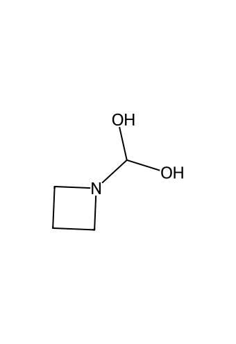 OC(O)N1CCC1